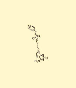 Nc1nc(Cl)nc2c1ncn2CCCCOC(=O)NCCc1ccncc1